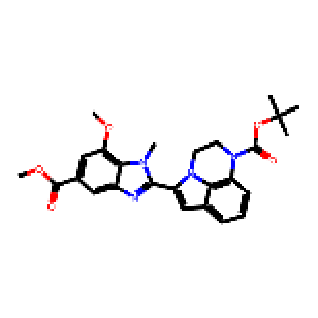 COC(=O)c1cc(OC)c2c(c1)nc(-c1cc3cccc4c3n1CCN4C(=O)OC(C)(C)C)n2C